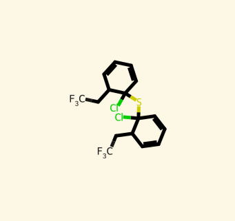 FC(F)(F)CC1C=CC=CC1(Cl)SC1(Cl)C=CC=CC1CC(F)(F)F